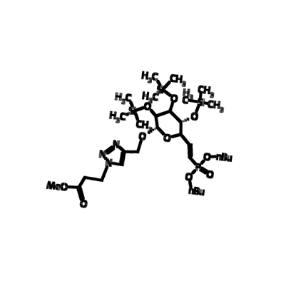 CCCCOP(=O)(/C=C/C1O[C@H](OCc2cn(CCC(=O)OC)nn2)C(O[Si](C)(C)C)C(O[Si](C)(C)C)[C@@H]1O[Si](C)(C)C)OCCCC